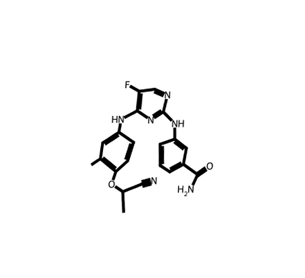 Cc1cc(Nc2nc(Nc3cccc(C(N)=O)c3)ncc2F)ccc1OC(C)C#N